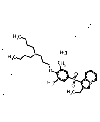 CCCCN(CCCC)CCCOc1c(C)cc(S(=O)(=O)c2c(CC)cn3ccccc23)cc1C.Cl